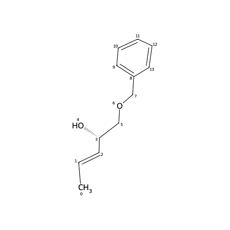 C/C=C/[C@H](O)COCc1ccccc1